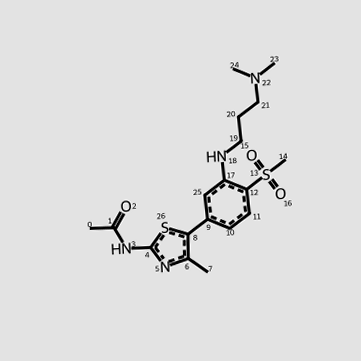 CC(=O)Nc1nc(C)c(-c2ccc(S(C)(=O)=O)c(NCCCN(C)C)c2)s1